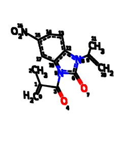 C=C(C)C(=O)n1c(=O)n(C(=C)C)c2ccc([N+](=O)[O-])cc21